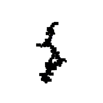 CC[N+]1=C(/C=C/C=C/C=C2/N(CCCCCC(=O)NC(CSSCCCOC(=O)Nc3ccn([C@H]4C[C@@H](O)[C@@H](COP(=O)(O)OP(=O)(O)OP(=O)(O)O)O4)c(=O)n3)C(=O)NC/C=C/c3cn([C@H]4C[C@@H](O)[C@@H](COP(=O)(O)O)O4)c(=O)nc3N)c3ccc(S(=O)(=O)O)cc3C2(C)C)C(C)(C)c2cc(SOOO)ccc21